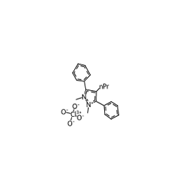 CCCc1c(-c2ccccc2)n(C)[n+](C)c1-c1ccccc1.[O-][Cl+3]([O-])([O-])[O-]